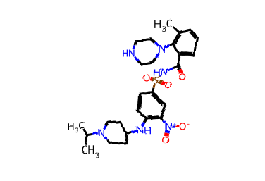 Cc1cccc(C(=O)NS(=O)(=O)c2ccc(NC3CCN(C(C)C)CC3)c([N+](=O)[O-])c2)c1N1CCNCC1